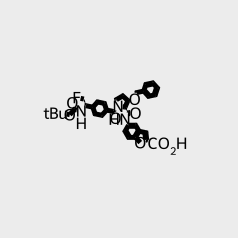 CC(C)(C)OC(=O)N[C@H](CF)C1CCC(C(=O)N2CC[C@H](OCc3ccccc3)[C@@H]2C(=O)Nc2ccc3oc(C(=O)O)cc3c2)CC1